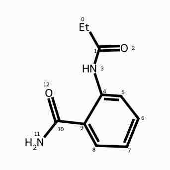 CCC(=O)Nc1ccccc1C(N)=O